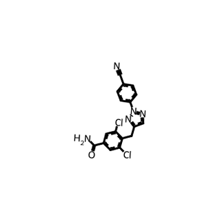 N#Cc1ccc(-n2ncc(Cc3c(Cl)cc(C(N)=O)cc3Cl)n2)cc1